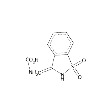 NC(=O)O.O=C1NS(=O)(=O)c2ccccc21